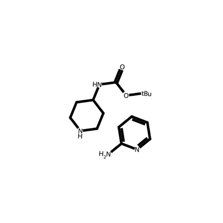 CC(C)(C)OC(=O)NC1CCNCC1.Nc1ccccn1